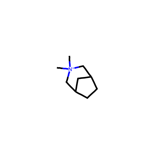 C[N+]1(C)CC2CCC(C2)C1